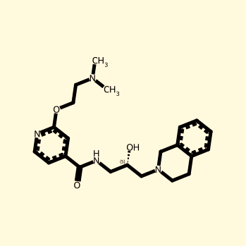 CN(C)CCOc1cc(C(=O)NC[C@H](O)CN2CCc3ccccc3C2)ccn1